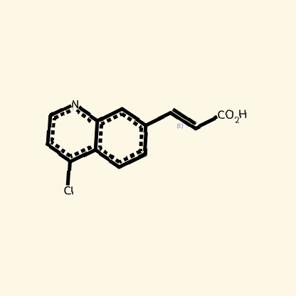 O=C(O)/C=C/c1ccc2c(Cl)ccnc2c1